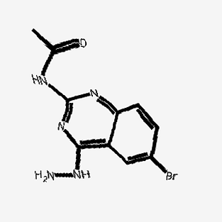 CC(=O)Nc1nc(NN)c2cc(Br)ccc2n1